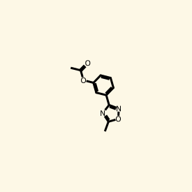 CC(=O)Oc1cccc(-c2noc(C)n2)c1